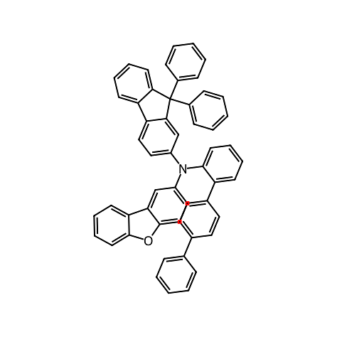 c1ccc(-c2ccc(-c3ccccc3N(c3ccc4c(c3)C(c3ccccc3)(c3ccccc3)c3ccccc3-4)c3ccc4oc5ccccc5c4c3)cc2)cc1